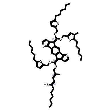 CCCCCC/C(S)=C/C=C(\C)CS/C(SCc1ccc(CCCCCC)s1)=C1/c2cc3c(cc2-c2sccc21)/C(=C(\SCC1=CC(C)C(CCCCCC)S1)SCc1ccc(CCCCCC)s1)c1ccsc1-3